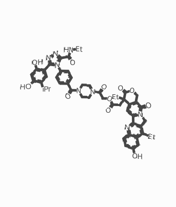 CCNC(=O)c1nnc(-c2cc(C(C)C)c(O)cc2O)n1-c1ccc(C(=O)N2CCN(C(=O)COC(=O)CC3(CC)C(=O)OCc4c3cc3n(c4=O)Cc4c-3nc3ccc(O)cc3c4CC)CC2)cc1